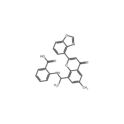 Cc1cc(C(C)Nc2ccccc2C(=O)O)c2oc(-c3cccc4ocnc34)cc(=O)c2c1